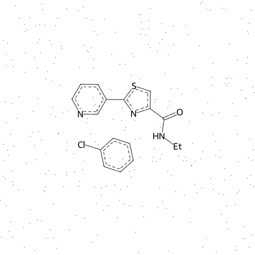 CCNC(=O)c1csc(-c2cccnc2)n1.Clc1ccccc1